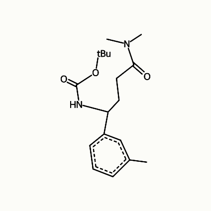 Cc1cccc(C(CCC(=O)N(C)C)NC(=O)OC(C)(C)C)c1